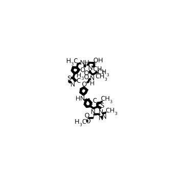 COC(=O)C[C@@H]1N=C(c2ccc(Nc3ccc(OCC(=O)NC(C(=O)N4C[C@H](O)C[C@H]4C(=O)NC(C)c4ccc(-c5scnc5C)cc4)C(C)(C)C)cc3)cc2)c2c(sc(C)c2C)-n2c(C)nnc21